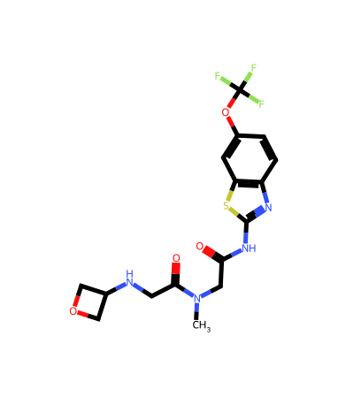 CN(CC(=O)Nc1nc2ccc(OC(F)(F)F)cc2s1)C(=O)CNC1COC1